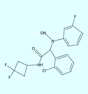 O=NN(c1cccc(F)c1)C(C(=O)NC1CC(F)(F)C1)c1ccccc1Cl